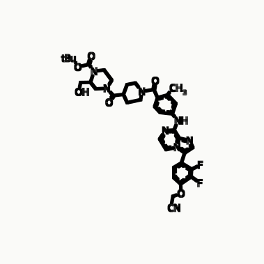 Cc1cc(Nc2nccn3c(-c4ccc(OCC#N)c(F)c4F)cnc23)ccc1C(=O)N1CCC(C(=O)N2CCN(C(=O)OC(C)(C)C)C(CO)C2)CC1